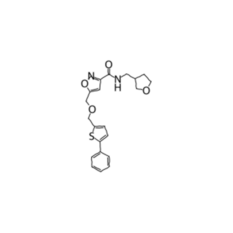 O=C(NCC1CCOC1)c1cc(COCc2ccc(-c3ccccc3)s2)on1